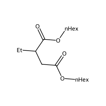 CCCCCCOC(=O)CC(CC)C(=O)OCCCCCC